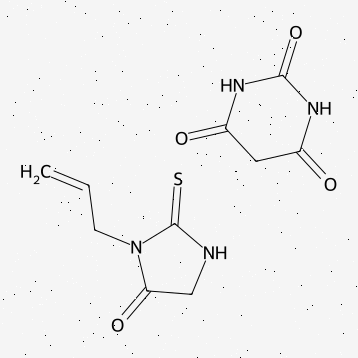 C=CCN1C(=O)CNC1=S.O=C1CC(=O)NC(=O)N1